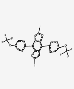 FC(F)(F)Oc1ccc(-c2c3cc(I)sc3c(-c3ccc(OC(F)(F)F)cc3)c3cc(I)sc23)cc1